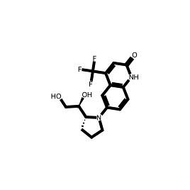 O=c1cc(C(F)(F)F)c2cc(N3CCC[C@@H]3[C@H](O)CO)ccc2[nH]1